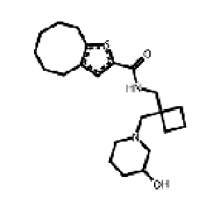 O=C(NCC1(CN2CCCC(O)C2)CCC1)c1cc2c(s1)CCCCCC2